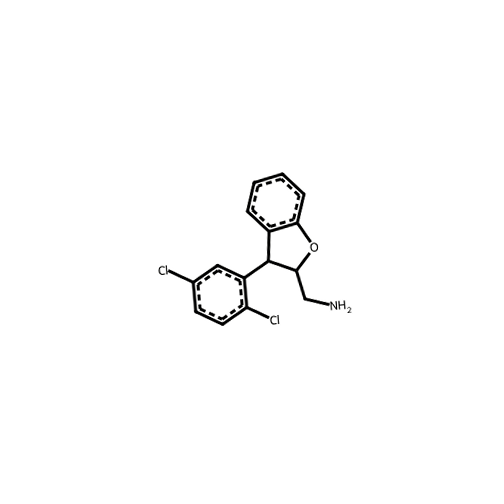 NCC1Oc2ccccc2C1c1cc(Cl)ccc1Cl